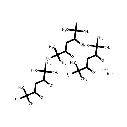 CC(C)(C)C([O-])CC([O-])C(C)(C)C.CC(C)(C)C([O-])CC([O-])C(C)(C)C.CC(C)(C)C([O-])CC([O-])C(C)(C)C.[Er+3].[Er+3]